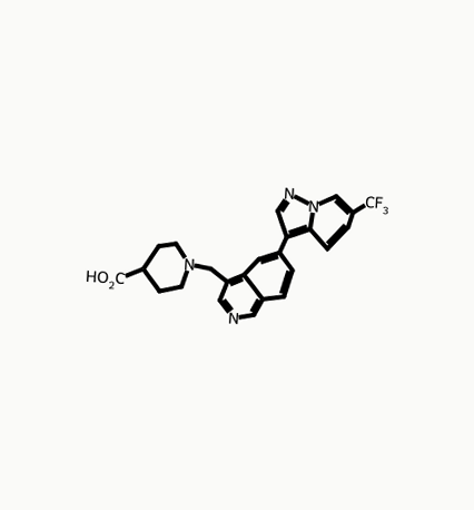 O=C(O)C1CCN(Cc2cncc3ccc(-c4cnn5cc(C(F)(F)F)ccc45)cc23)CC1